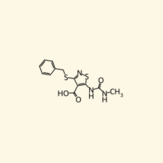 CNC(=O)Nc1snc(SCc2ccccc2)c1C(=O)O